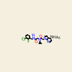 CC(=O)Nc1ccnc2c1ccn2CC(=O)N(CC(=O)NCc1cccc(Cl)c1F)C1CC1